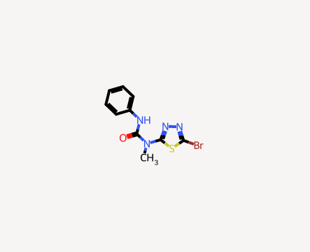 CN(C(=O)Nc1ccccc1)c1nnc(Br)s1